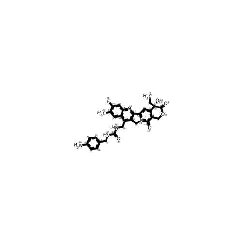 CC[C@@]1(O)C(=O)OCc2c1cc1n(c2=O)Cc2c-1nc1cc(F)c(C)cc1c2CNC(=O)NCc1ccc(N)cc1